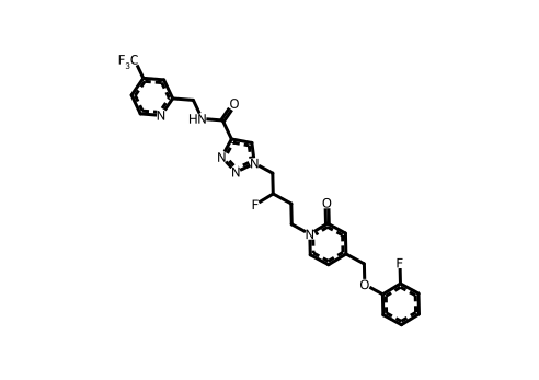 O=C(NCc1cc(C(F)(F)F)ccn1)c1cn(CC(F)CCn2ccc(COc3ccccc3F)cc2=O)nn1